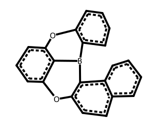 c1ccc2c(c1)Oc1cccc3c1B2c1c(ccc2ccccc12)O3